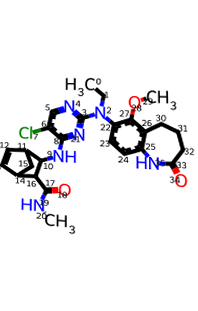 CCN(c1ncc(Cl)c(NC2C3C=CC(C3)C2C(=O)NC)n1)c1ccc2c(c1OC)CCCC(=O)N2